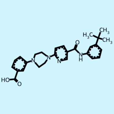 CC(C)(C)c1cccc(NC(=O)c2ccc(N3CCN(c4cccc(C(=O)O)c4)CC3)nc2)c1